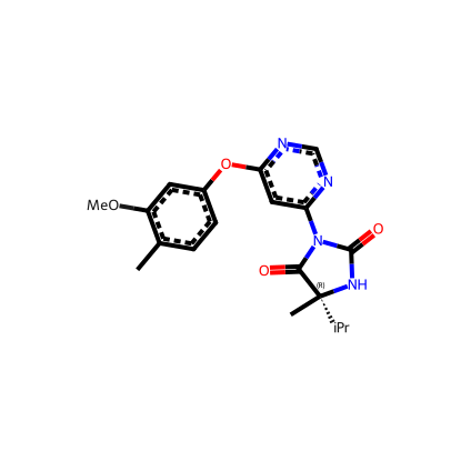 COc1cc(Oc2cc(N3C(=O)N[C@](C)(C(C)C)C3=O)ncn2)ccc1C